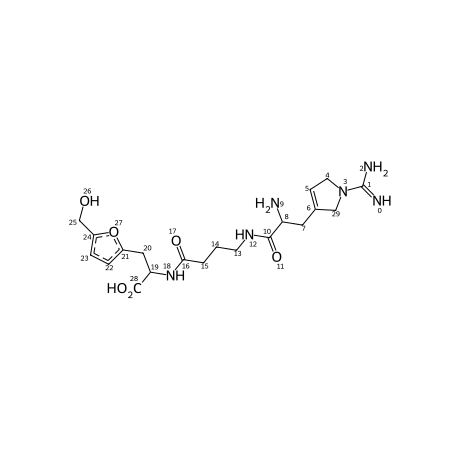 N=C(N)N1CC=C(CC(N)C(=O)NCCCC(=O)NC(Cc2ccc(CO)o2)C(=O)O)C1